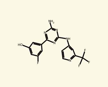 Nc1nc(Nc2ccnc(C(F)(F)F)c2)nc(-c2cc(O)cc(F)c2)n1